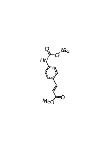 COC(=O)C=Cc1ccc(NC(=O)OC(C)(C)C)cc1